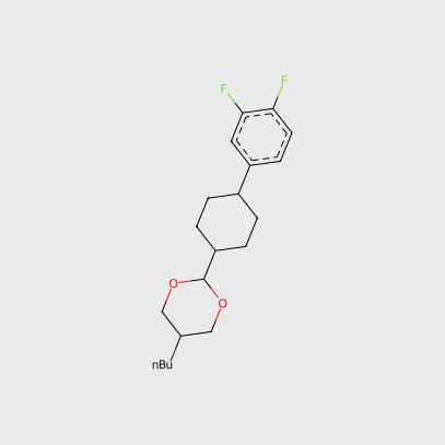 CCCCC1COC(C2CCC(c3ccc(F)c(F)c3)CC2)OC1